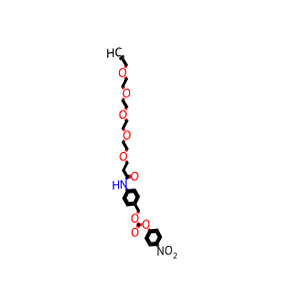 C#CCOCCOCCOCCOCCOCCC(=O)Nc1ccc(COC(=O)Oc2ccc([N+](=O)[O-])cc2)cc1